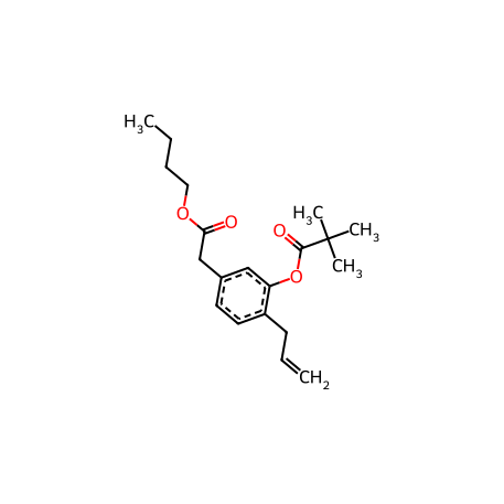 C=CCc1ccc(CC(=O)OCCCC)cc1OC(=O)C(C)(C)C